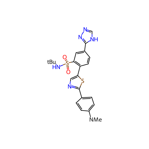 CNc1ccc(-c2ncc(-c3ccc(-c4nnc[nH]4)cc3S(=O)(=O)NC(C)(C)C)s2)cc1